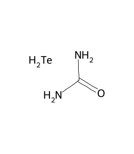 NC(N)=O.[TeH2]